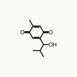 CC1=CC(=O)C(C(O)C(C)C)=CC1=O